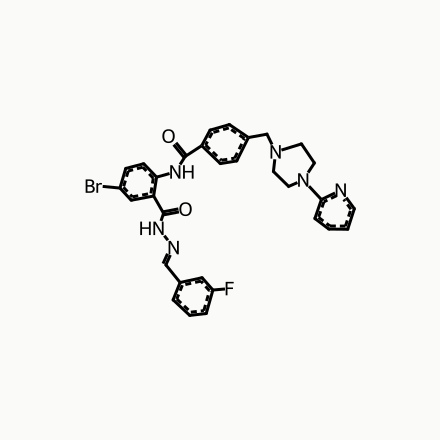 O=C(Nc1ccc(Br)cc1C(=O)NN=Cc1cccc(F)c1)c1ccc(CN2CCN(c3ccccn3)CC2)cc1